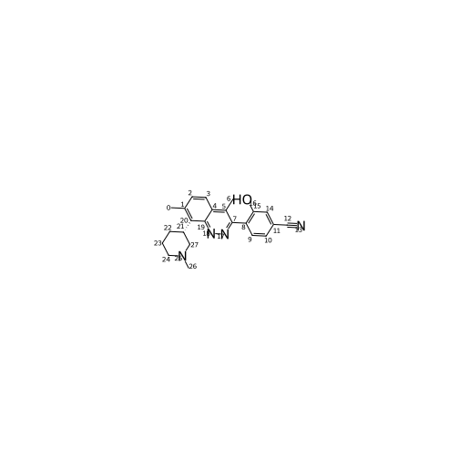 Cc1ccc2c(C)c(-c3ccc(C#N)cc3O)nnc2c1[C@H]1CCCN(C)C1